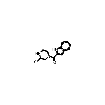 O=C(c1cc2ccccc2[nH]1)N1CCNC(Cl)C1